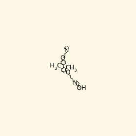 Cc1cc(OCCCN2CCCC2)ccc1-c1cccc(OCCCCCN2CCC(O)C2)c1C